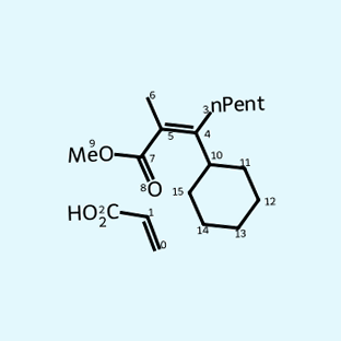 C=CC(=O)O.CCCCCC(=C(C)C(=O)OC)C1CCCCC1